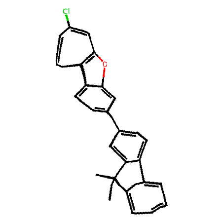 CC1(C)c2ccccc2-c2ccc(-c3ccc4c(c3)oc3cc(Cl)ccc34)cc21